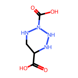 O=C(O)C1CNN(C(=O)O)NN1